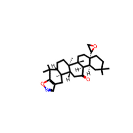 CC1(C)CC[C@]2(C3CO3)CC[C@]3(C)[C@H](C(=O)C[C@@H]4[C@@]5(C)Cc6cnoc6C(C)(C)[C@@H]5CC[C@]43C)[C@@H]2C1